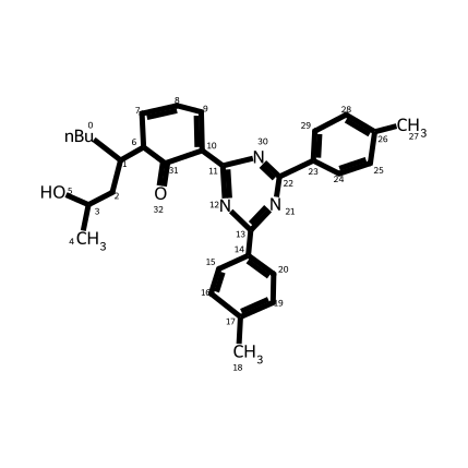 CCCCC(CC(C)O)C1C=CC=C(c2nc(-c3ccc(C)cc3)nc(-c3ccc(C)cc3)n2)C1=O